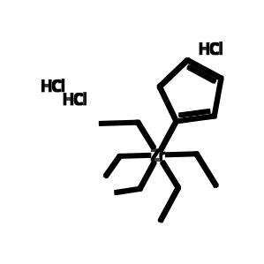 C[CH2][Zr]([CH2]C)([CH2]C)([CH2]C)([CH2]C)[C]1=CC=CC1.Cl.Cl.Cl